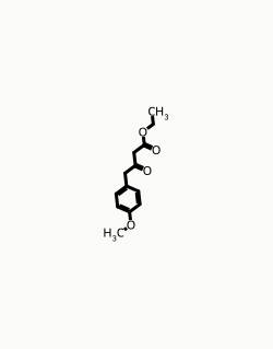 CCOC(=O)CC(=O)Cc1ccc(OC)cc1